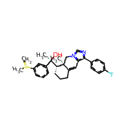 C=S(C)c1cccc([C@@](C)(O)[C@H]2CCCC3=Cc4c(-c5ccc(F)cc5)ncn4C[C@@]32C)c1